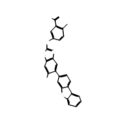 Cc1ccc(Oc2nc3cc(-c4ccc5c(c4)[nH]c4ccccc45)c(Cl)cc3[nH]2)cc1C(=O)O